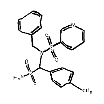 Cc1ccc(C(N(Cc2ccccc2)S(=O)(=O)c2cccnc2)S(N)(=O)=O)cc1